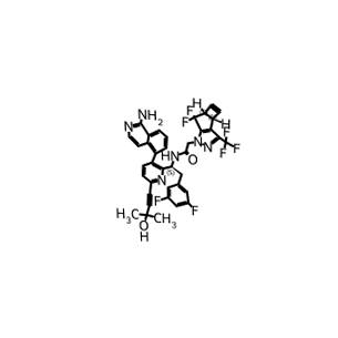 CC(C)(O)C#Cc1ccc(-c2cccc3c(N)nccc23)c([C@H](Cc2cc(F)cc(F)c2)NC(=O)Cn2nc(C(F)(F)F)c3c2C(F)(F)[C@@H]2C#C[C@H]32)n1